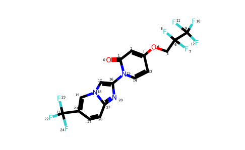 O=c1cc(OCC(F)(F)C(F)(F)F)ccn1-c1cn2cc(C(F)(F)F)ccc2n1